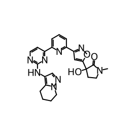 CN1CCC(O)(c2cc(-c3cccc(-c4ccnc(Nc5cnn6c5CCCC6)n4)n3)no2)C1=O